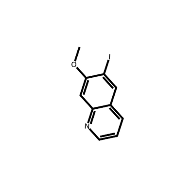 COc1cc2ncccc2cc1I